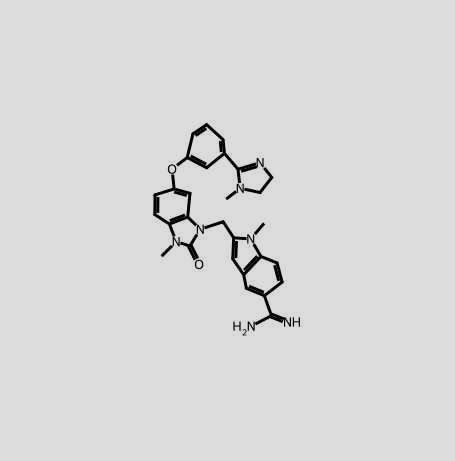 CN1CCN=C1c1cccc(Oc2ccc3c(c2)n(Cc2cc4cc(C(=N)N)ccc4n2C)c(=O)n3C)c1